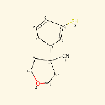 N#CC1(C2C=C(S)C=CC2)CCOCC1